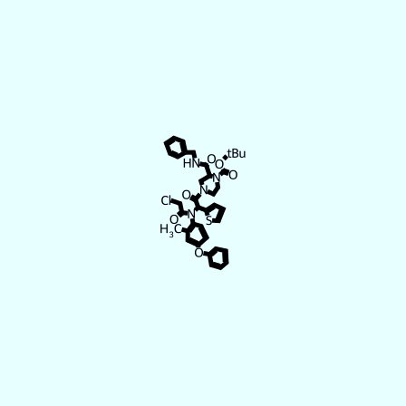 Cc1cc(Oc2ccccc2)ccc1N(C(=O)CCl)C(C(=O)N1CCN(C(=O)OC(C)(C)C)C(C(=O)NCc2ccccc2)C1)c1cccs1